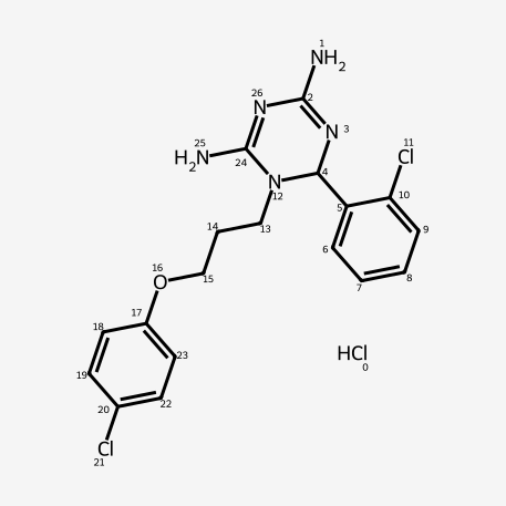 Cl.NC1=NC(c2ccccc2Cl)N(CCCOc2ccc(Cl)cc2)C(N)=N1